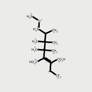 CC([SiH2]O[SiH3])C(C)(C)C(C)(C)/C(C(=O)O)=C(/CC(F)(F)F)C(=O)O